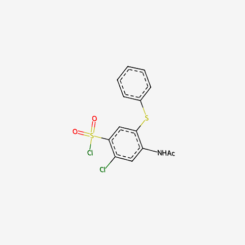 CC(=O)Nc1cc(Cl)c(S(=O)(=O)Cl)cc1Sc1ccccc1